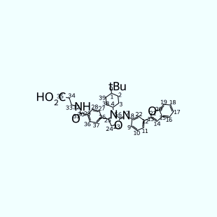 CC(C)(C)C1CCC(N2C(=Nc3cccc(-c4cc5ccccc5o4)c3)OCC2c2ccc(C(=O)NCCC(=O)O)cc2)CC1